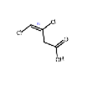 O=C(O)C/C(Cl)=C\Cl